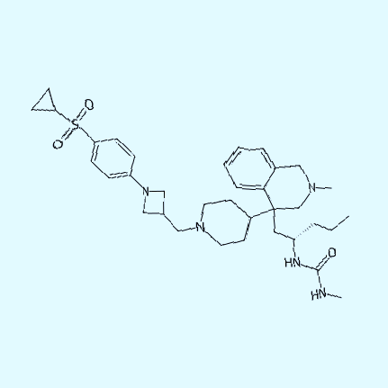 CCC[C@@H](CC1(C2CCN(CC3CN(c4ccc(S(=O)(=O)C5CC5)cc4)C3)CC2)CN(C)Cc2ccccc21)NC(=O)NC